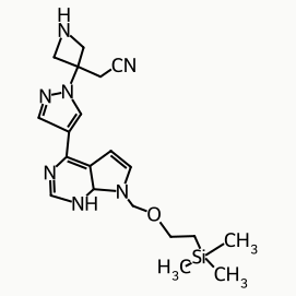 C[Si](C)(C)CCOCN1C=CC2=C(c3cnn(C4(CC#N)CNC4)c3)N=CNC21